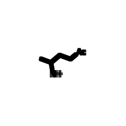 CC(=O)CCC(C)[NH]